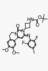 COc1cc2c(cc1OC)-c1c/c(=N\c3c(F)cc(C)cc3F)n(C3CC(NC(=O)OC(C)(C)C)C3)c(=O)n1CC2